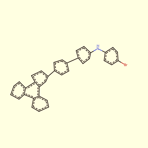 Brc1ccc(Nc2ccc(-c3ccc(-c4ccc5c6ccccc6c6ccccc6c5c4)cc3)cc2)cc1